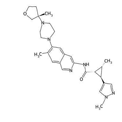 Cc1cc2cnc(NC(=O)[C@@H]3[C@H](C)[C@H]3c3cnn(C)c3)cc2cc1N1CCN([C@@]2(C)CCOC2)CC1